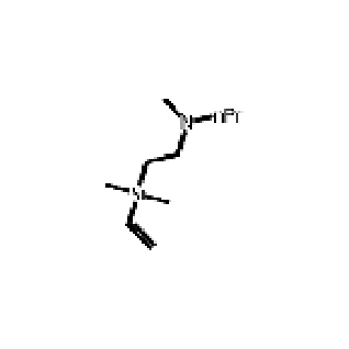 C=C[Si](C)(C)CCN(C)CCC